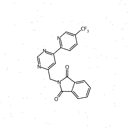 O=C1c2ccccc2C(=O)N1Cc1cc(-c2ccc(C(F)(F)F)cn2)ncn1